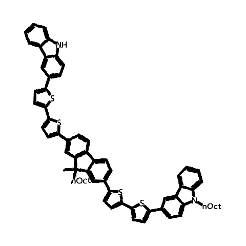 CCCCCCCCn1c2ccccc2c2cc(-c3ccc(-c4ccc(-c5ccc6c(c5)C(C)(CCCCCCCC)c5cc(-c7ccc(-c8ccc(-c9ccc%10[nH]c%11ccccc%11c%10c9)s8)s7)ccc5-6)s4)s3)ccc21